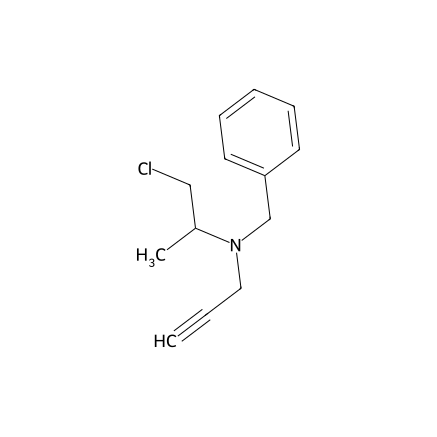 C#CCN(Cc1ccccc1)C(C)CCl